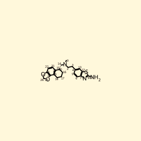 CN(CCc1ccc2nc(N)sc2c1)C[C@@H]1CCCc2c1ccc1c2OCO1